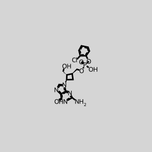 Nc1nc2c(ncn2[C@@H]2C[C@H](COP(=O)(O)Oc3ccccc3Cl)[C@H]2CO)c(=O)[nH]1